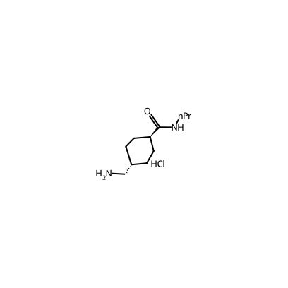 CCCNC(=O)[C@H]1CC[C@H](CN)CC1.Cl